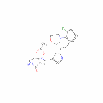 O=C1NCCc2c1cc(-c1ccnc(C=Cc3cccc(F)c3N3CCOCC3)c1)n2OC(=O)C(F)(F)F